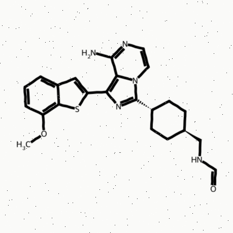 COc1cccc2cc(-c3nc([C@H]4CC[C@H](CNC=O)CC4)n4ccnc(N)c34)sc12